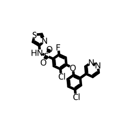 O=S(=O)(Nc1cscn1)c1cc(Cl)c(Oc2ccc(Cl)cc2-c2ccnnc2)cc1F